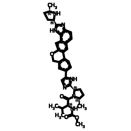 COC(=O)N[C@H](C(=O)N1[C@@H](C)CC[C@H]1c1ncc(-c2ccc3c(c2)COc2cc4c(ccc5nc([C@@H]6CC[C@H](C)N6)[nH]c54)cc2-3)[nH]1)C(C)C